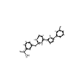 Cc1cccc(-c2ccc(-c3ccnc(Cc4cccc(C(C)O)c4)n3)s2)c1